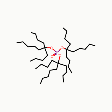 CCCCCC(CCCC)(CCCC)OP(=O)(OC(CCCC)(CCCC)CCCCC)OC(CCCC)(CCCC)CCCCC